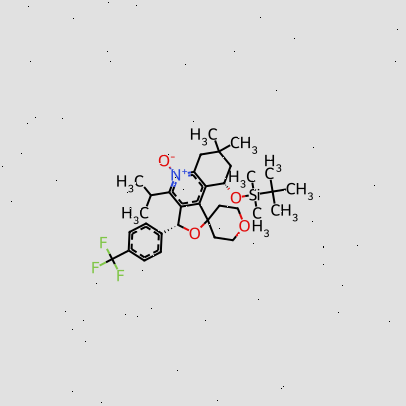 CC(C)c1c2c(c3c([n+]1[O-])CC(C)(C)C[C@@H]3O[Si](C)(C)C(C)(C)C)C1(CCOCC1)O[C@@H]2c1ccc(C(F)(F)F)cc1